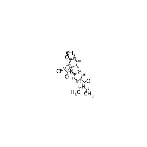 CCN(CC)C(=O)c1ccc(N(C(=O)CCl)c2cccc(OC)c2)cc1